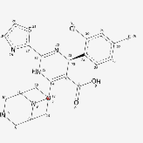 O=C(O)C1=C(CN2C3CNCC2COC3)NC(c2nccs2)=N[C@H]1c1ccc(F)cc1Cl